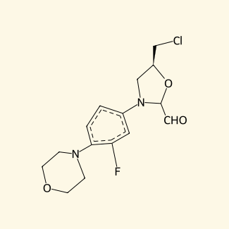 O=CC1O[C@H](CCl)CN1c1ccc(N2CCOCC2)c(F)c1